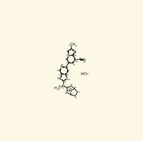 Cc1cn2cc(-c3cc4sc(N(C)C5CC6CCC(C5)N6)nc4cn3)cc(C#N)c2n1.Cl